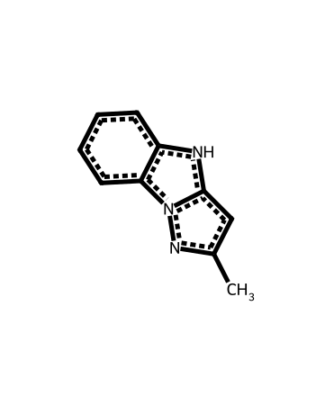 Cc1cc2[nH]c3ccccc3n2n1